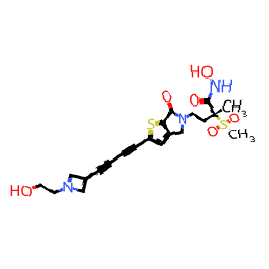 C[C@@](CCN1Cc2cc(C#CC#CC3CN(CCO)C3)sc2C1=O)(C(=O)NO)S(C)(=O)=O